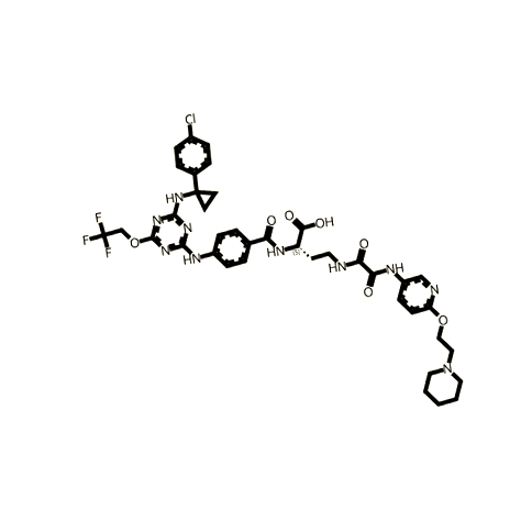 O=C(NCC[C@H](NC(=O)c1ccc(Nc2nc(NC3(c4ccc(Cl)cc4)CC3)nc(OCC(F)(F)F)n2)cc1)C(=O)O)C(=O)Nc1ccc(OCCN2CCCCC2)nc1